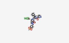 CS(=O)(=O)c1ccc(CN2CCC3(CCN(C[C@H]4CN(C(=O)c5cccnc5)C[C@@H]4c4ccccc4)CC3)C2=O)cc1.Cl.Cl